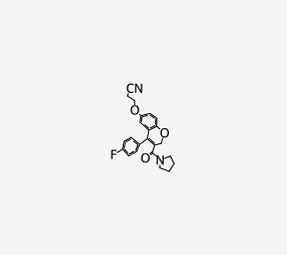 N#CCCOc1ccc2c(c1)C(c1ccc(F)cc1)=C(C(=O)N1CCCC1)CO2